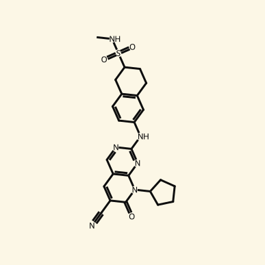 CNS(=O)(=O)C1CCc2cc(Nc3ncc4cc(C#N)c(=O)n(C5CCCC5)c4n3)ccc2C1